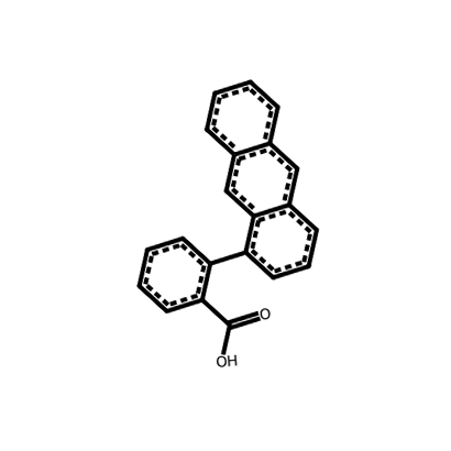 O=C(O)c1ccccc1-c1cccc2cc3ccccc3cc12